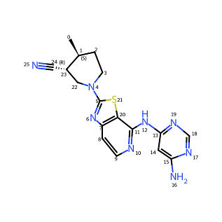 C[C@H]1CCN(c2nc3ccnc(Nc4cc(N)ncn4)c3s2)C[C@@H]1C#N